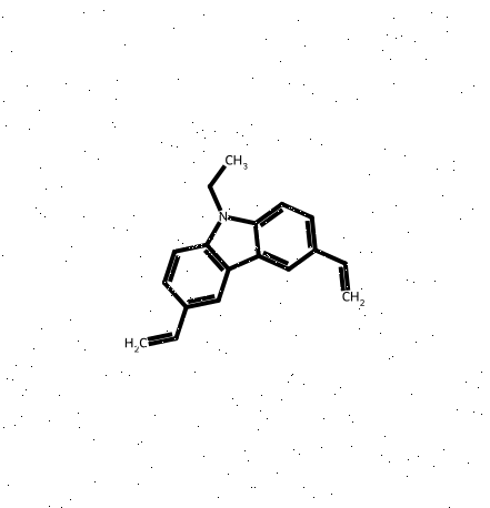 C=Cc1ccc2c(c1)c1cc(C=C)ccc1n2CC